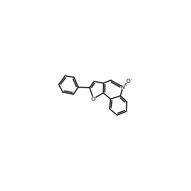 [O-][n+]1cc2cc(-c3ccccc3)oc2c2ccccc21